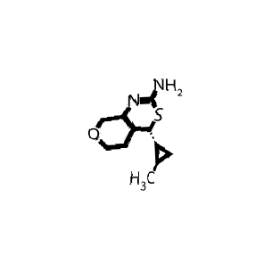 C[C@@H]1C[C@H]1C1SC(N)=NC2COCCC21